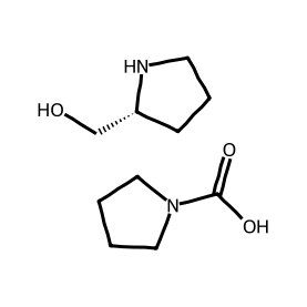 O=C(O)N1CCCC1.OC[C@H]1CCCN1